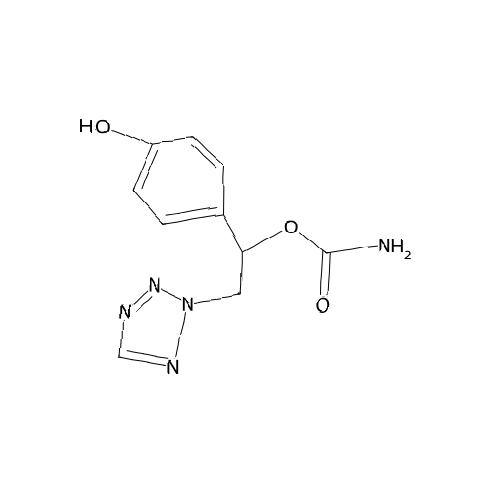 NC(=O)OC(Cn1ncnn1)c1ccc(O)cc1